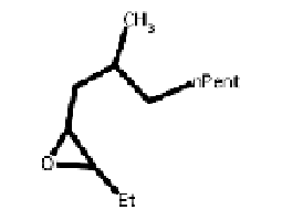 CCCCCCC(C)CC1OC1CC